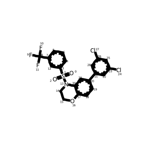 O=S(=O)(c1cccc(C(F)(F)F)c1)N1CCOc2ccc(-c3cc(Cl)cc(Cl)c3)cc21